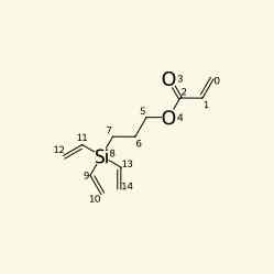 C=CC(=O)OCCC[Si](C=C)(C=C)C=C